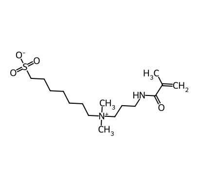 C=C(C)C(=O)NCCC[N+](C)(C)CCCCCCCS(=O)(=O)[O-]